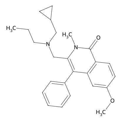 CCCN(Cc1c(-c2ccccc2)c2cc(OC)ccc2c(=O)n1C)CC1CC1